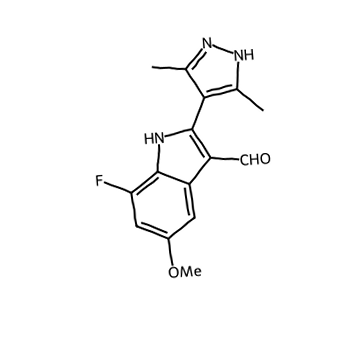 COc1cc(F)c2[nH]c(-c3c(C)n[nH]c3C)c(C=O)c2c1